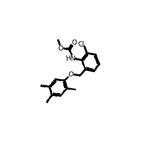 COC(=O)Nc1c(Cl)cccc1COc1cc(C)c(C)cc1C